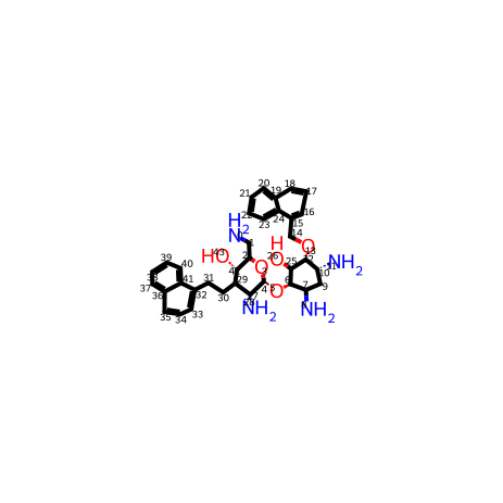 NCC1O[C@H](O[C@@H]2C(N)C[C@@H](N)[C@@H](OCc3cccc4ccccc34)C2O)[C@@H](N)C(CCc2cccc3ccccc23)[C@@H]1O